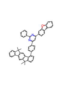 CC1(C)c2ccccc2-c2cc3c(cc21)-c1c(-c2ccc(-c4cc(-c5ccc6c(c5)oc5ccccc56)nc(-c5ccccc5)n4)cc2)cccc1C3(C)C